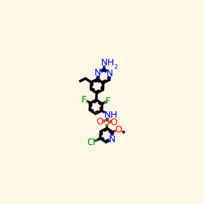 CCc1cc(-c2c(F)ccc(NS(=O)(=O)c3cc(Cl)cnc3OC)c2F)cc2cnc(N)nc12